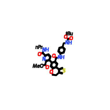 CCCNC(=O)c1ccc(-c2cc3c(cc2C(=O)Nc2ccc(CNC(=O)OC(C)(C)C)cc2)-c2cscc2CCO3)c(C(=O)OC)n1